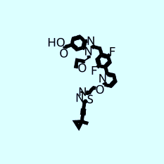 CC1(C#Cc2nnc(COc3cccc(-c4cc(F)c(Cc5nc6ccc(C(=O)O)cc6n5C[C@@H]5CCO5)cc4F)n3)s2)CC1